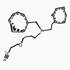 N#[13C]COCCN(Cc1ccccc1)Cc1ccccc1